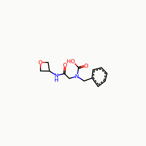 O=C(CN(Cc1ccccc1)C(=O)O)NC1COC1